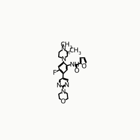 C[C@@H]1CN(c2cc(F)c(-c3cnc(N4CCOCC4)nc3)cc2NC(=O)c2ccco2)CCN1C